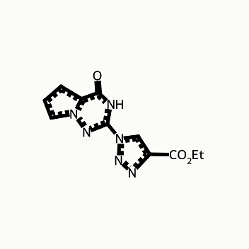 CCOC(=O)c1cn(-c2nn3cccc3c(=O)[nH]2)nn1